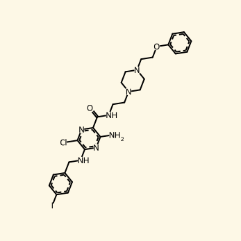 Nc1nc(NCc2ccc(I)cc2)c(Cl)nc1C(=O)NCCN1CCN(CCOc2ccccc2)CC1